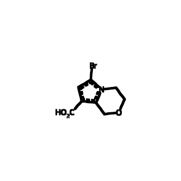 O=C(O)c1cc(Br)n2c1COCC2